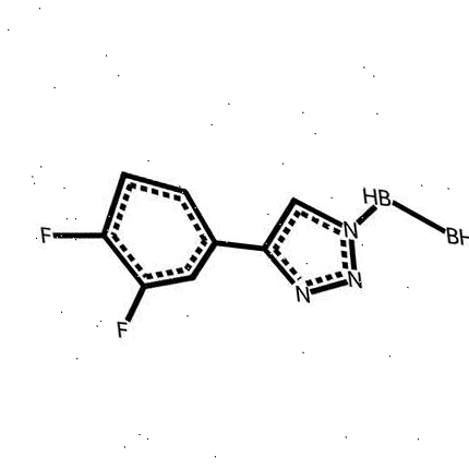 BBn1cc(-c2ccc(F)c(F)c2)nn1